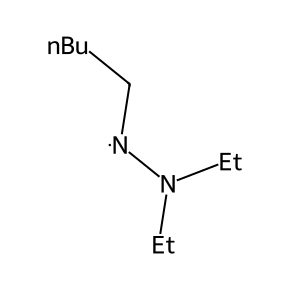 CCCCC[N]N(CC)CC